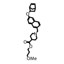 COCCCOC(=O)C1CCN(Cc2ccc3cc(OC4CC5C=CC4C5)ccc3c2)CC1